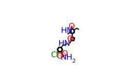 CCc1cc(-c2ccc(CNCCc3ccc(Cl)c(S(N)(=O)=O)c3)o2)c(C)[nH]c1=O